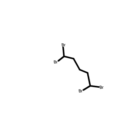 BrC(Br)CCCC(Br)Br